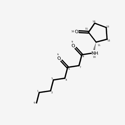 CCCCCC(=O)CC(=O)N[C@H]1CCCC1=O